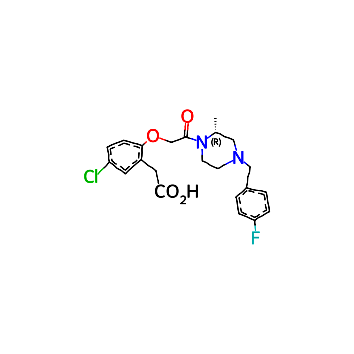 C[C@@H]1CN(Cc2ccc(F)cc2)CCN1C(=O)COc1ccc(Cl)cc1CC(=O)O